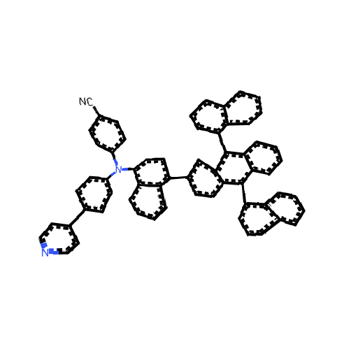 N#Cc1ccc(N(c2ccc(-c3ccncc3)cc2)c2ccc(-c3ccc4c(-c5cccc6ccccc56)c5ccccc5c(-c5cccc6ccccc56)c4c3)c3ccccc23)cc1